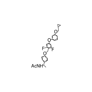 CC(=O)NC(C)c1ccc(OCc2c(F)cc(Oc3cccc(OCC4CC4)c3)cc2F)cc1